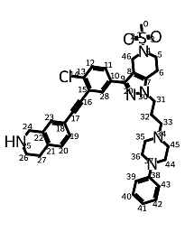 CS(=O)(=O)N1CCc2c(c(-c3ccc(Cl)c(C#Cc4ccc5c(c4)CNCC5)c3)nn2CCCN2CCN(c3ccccc3)CC2)C1